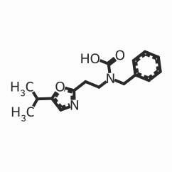 CC(C)c1cnc(CCN(Cc2ccccc2)C(=O)O)o1